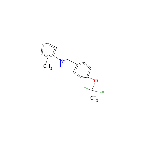 [CH2]c1ccccc1NCc1ccc(OC(F)(F)C(F)(F)F)cc1